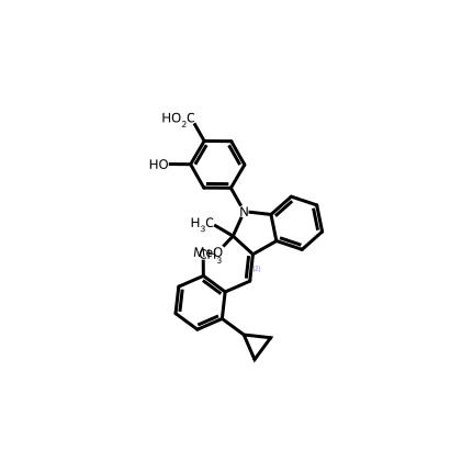 COC1(C)/C(=C\c2c(C)cccc2C2CC2)c2ccccc2N1c1ccc(C(=O)O)c(O)c1